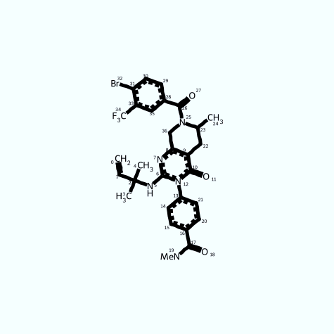 C=CC(C)(C)Nc1nc2c(c(=O)n1-c1ccc(C(=O)NC)cc1)CC(C)N(C(=O)c1ccc(Br)c(C(F)(F)F)c1)C2